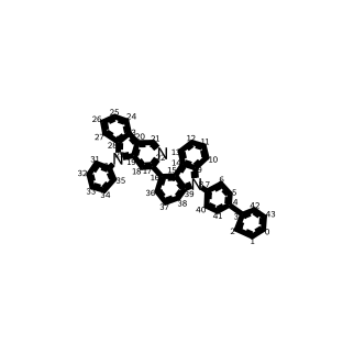 c1ccc(-c2ccc(-n3c4ccccc4c4c(-c5cc6c(cn5)c5ccccc5n6-c5ccccc5)cccc43)cc2)cc1